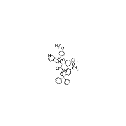 COc1ccc(S(=O)(=O)N(Cc2ccncc2)C(C(=O)NOC(c2ccccc2)(c2ccccc2)c2ccccc2)[C@H]2CC[C@](C)(OC)CC2)cc1